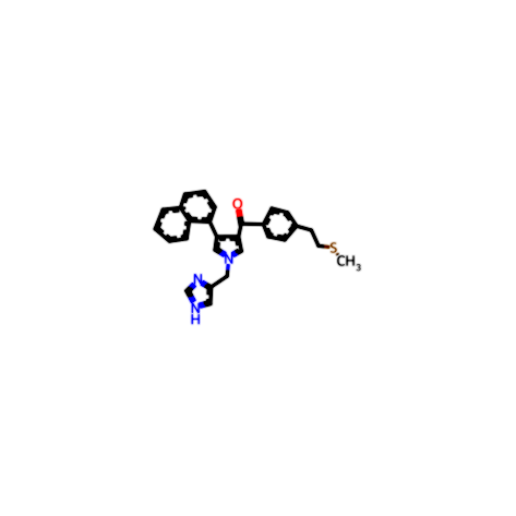 CSCCc1ccc(C(=O)c2cn(Cc3c[nH]cn3)cc2-c2cccc3ccccc23)cc1